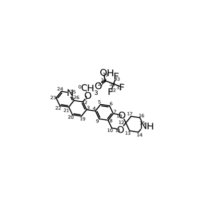 COc1c(-c2ccc3c(c2)COC2(CCNCC2)O3)ccc2cccnc12.O=C(O)C(F)(F)F